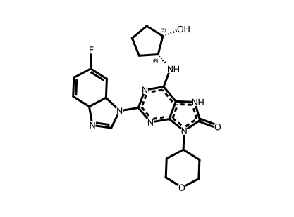 O=c1[nH]c2c(N[C@@H]3CCC[C@@H]3O)nc(N3C=NC4C=CC(F)=CC43)nc2n1C1CCOCC1